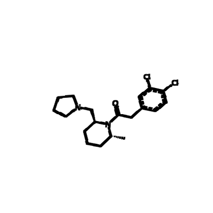 C[C@@H]1CCC[C@@H](CN2CCCC2)N1C(=O)Cc1ccc(Cl)c(Cl)c1